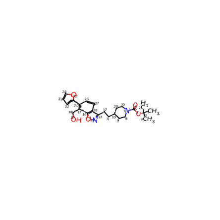 CC(C)(C)OC(=O)N1CCC(CCc2noc3c(CO)c(-c4ccco4)ccc23)CC1